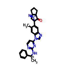 Cc1cc2c(cc1C13CC4CCCC4(C1=O)[N+]3=[N-])ncn2-c1ccnc(N[C@@H](C)c2ccccc2)n1